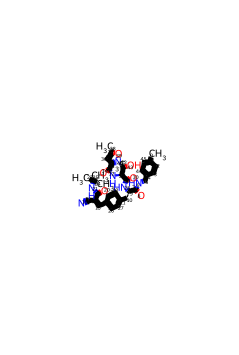 Cc1ccc(CNC(=O)[C@H](Cc2ccc(C=C(C#N)C(=O)NC(C)(C)C)cc2)NC(=O)[C@@H](NC(=O)c2cc(C)on2)[C@@H](C)O)cc1